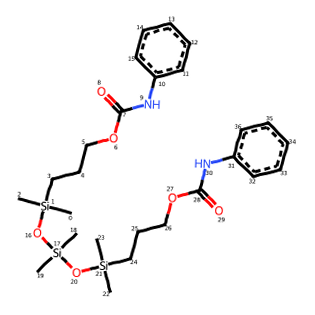 C[Si](C)(CCCOC(=O)Nc1ccccc1)O[Si](C)(C)O[Si](C)(C)CCCOC(=O)Nc1ccccc1